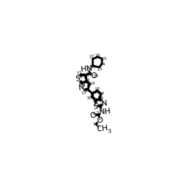 CCOC(=O)Nc1nc2ccc(-c3cnc4scc(C(=O)NC5CCCCC5)c4c3)cc2s1